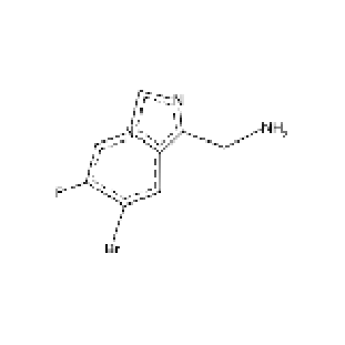 NCc1ncn2cc(F)c(Br)cc12